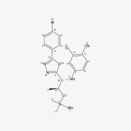 C[C@H](O[Si](C)(C)C(C)(C)C)[C@@H](Nc1ccc(C#N)c(Cl)c1)c1nnc(-c2ccc(Br)cc2)o1